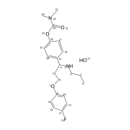 CCCNC(CCOc1ccc(F)cc1)c1ccc(OC(=O)N(C)C)cc1.Cl